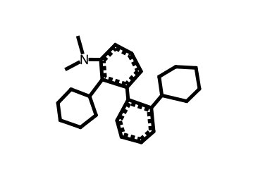 CN(C)c1cccc(-c2ccccc2C2CCCCC2)c1C1CCCCC1